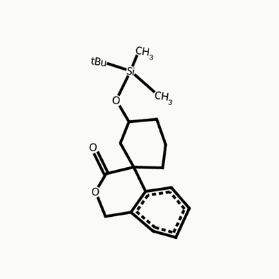 CC(C)(C)[Si](C)(C)OC1CCCC2(C1)C(=O)OCc1ccccc12